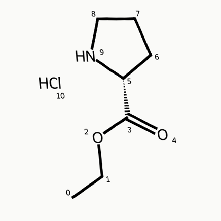 CCOC(=O)[C@H]1CCCN1.Cl